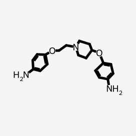 Nc1ccc(OCCN2CCC(Oc3ccc(N)cc3)CC2)cc1